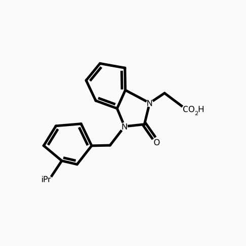 CC(C)c1cccc(Cn2c(=O)n(CC(=O)O)c3ccccc32)c1